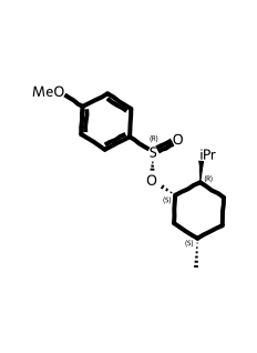 COc1ccc([S@](=O)O[C@H]2C[C@@H](C)CC[C@@H]2C(C)C)cc1